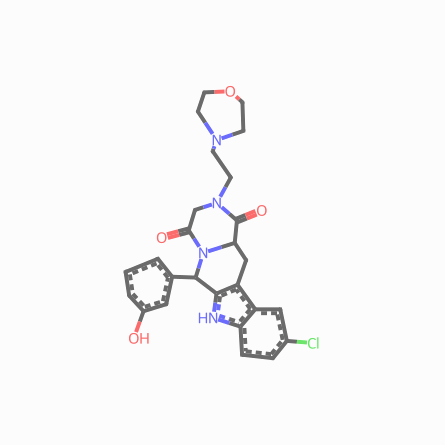 O=C1C2Cc3c([nH]c4ccc(Cl)cc34)C(c3cccc(O)c3)N2C(=O)CN1CCN1CCOCC1